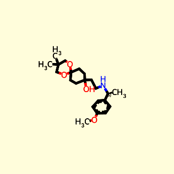 COc1ccc([C@H](C)NCCC2(O)CCC3(CC2)OCC(C)(C)CO3)cc1